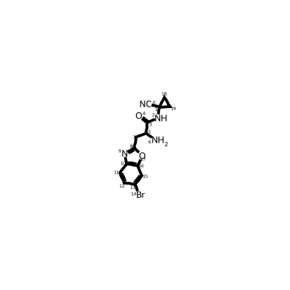 N#CC1(NC(=O)C(N)Cc2nc3ccc(Br)cc3o2)CC1